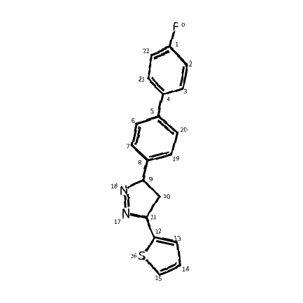 Fc1ccc(-c2ccc(C3CC(c4cccs4)N=N3)cc2)cc1